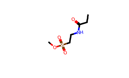 CCC(=O)NCCS(=O)(=O)OC